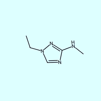 CCn1cnc(NC)n1